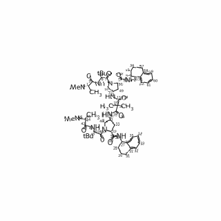 CN[C@@H](C)C(=O)N[C@H](C(=O)N1C[C@@H](NC(=O)C(C)(C)C(=O)N[C@H]2C[C@@H](C(=O)N[C@@H]3CCCc4ccccc43)N(C(=O)[C@@H](NC(=O)[C@H](C)NC)C(C)(C)C)C2)C[C@H]1C(=O)N[C@@H]1CCCc2ccccc21)C(C)(C)C